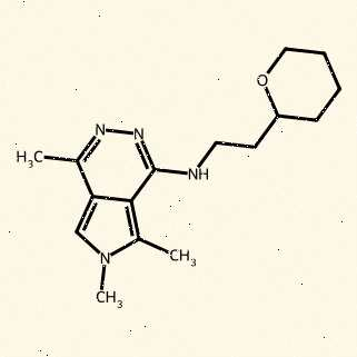 Cc1nnc(NCCC2CCCCO2)c2c(C)n(C)cc12